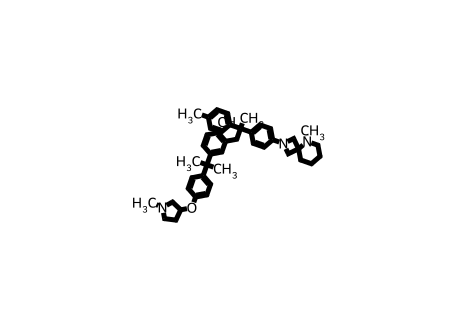 Cc1ccc(C(C)(Cc2cc(C(C)(C)c3ccc(OC4CCN(C)C4)cc3)ccc2C)c2ccc(N3CC4(CCCCN4C)C3)cc2)cc1